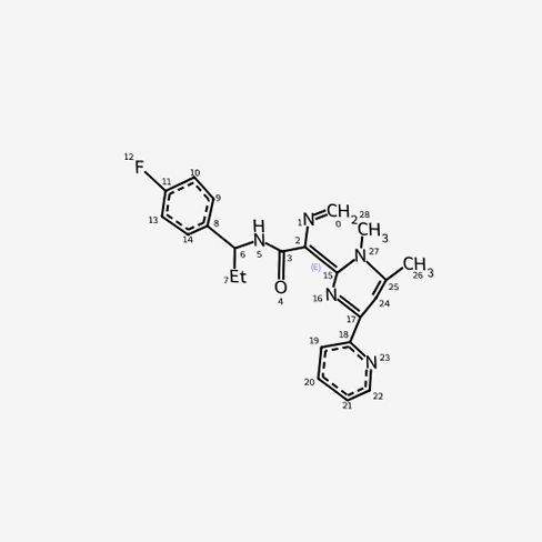 C=N/C(C(=O)NC(CC)c1ccc(F)cc1)=C1/N=C(c2ccccn2)C=C(C)N1C